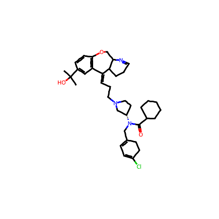 CC(C)(O)c1ccc2c(c1)/C(=C/CCN1CC[C@H](N(CC3=CC=C(Cl)CC3)C(=O)C3CCCCC3)C1)C1CCC=NC1CO2